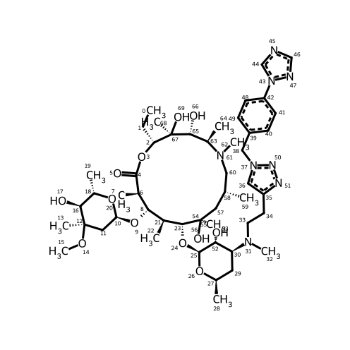 CC[C@H]1OC(=O)[C@H](C)[C@@H](O[C@H]2C[C@@](C)(OC)[C@@H](O)[C@H](C)O2)[C@H](C)[C@@H](O[C@@H]2O[C@H](C)C[C@H](N(C)CCc3cn(Cc4ccc(-n5cncn5)cc4)nn3)[C@H]2O)[C@](C)(O)C[C@@H](C)CN(C)[C@H](C)[C@@H](O)[C@]1(C)O